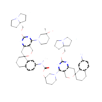 CC(C)(C)N(C(=O)O[C@]1(C)CCCN(c2nc(OC[C@@]34CCCN3C[C@H](F)C4)nc3c2COC2(CCCc4ccc(N)cc42)C3)C1)c1ccc2c(c1)C1(CCC2)Cc2nc(OC[C@@]34CCCN3C[C@H](F)C4)nc(N3CCC[C@@](C)(O)C3)c2CO1